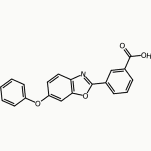 O=C(O)c1cccc(-c2nc3ccc(Oc4ccccc4)cc3o2)c1